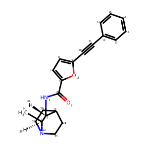 C[C@H]1[C@H](NC(=O)c2ccc(C#Cc3ccccc3)o2)C2CCN1CC2